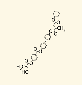 C=C(CO)C(=O)Oc1ccc(C(=O)Oc2ccc(-c3ccc(OC(=O)C(=C)CC(=O)OC4CCCCC4)cc3)cc2)cc1